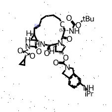 CC(C)Nc1ccc2c(c1)CN(C(=O)O[C@@H]1C[C@H]3C(=O)N[C@]4(C(=O)NS(=O)(=O)C5CC5)C[C@H]4/C=C/CCCCC[C@H](NC(=O)OC(C)(C)C)C(=O)N3C1)C2